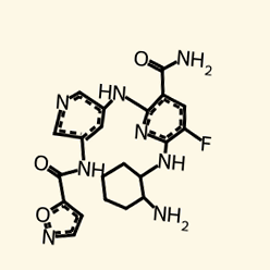 NC(=O)c1cc(F)c(NC2CCCCC2N)nc1Nc1cncc(NC(=O)c2ccno2)c1